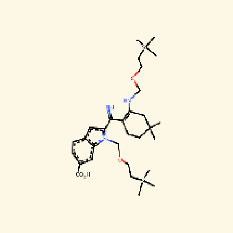 CC1(C)CCC(C(=N)c2cc3ccc(C(=O)O)cc3n2COCC[Si](C)(C)C)=C(NCOCC[Si](C)(C)C)C1